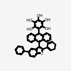 Oc1c(O)c(O)c(-c2c3ccccc3c(-c3c(C4=CCCC=C4)oc4ccc(-c5ccccc5)cc34)c3ccccc23)c(O)c1O